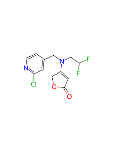 O=C1C=C(N(Cc2ccnc(Cl)c2)CC(F)F)CO1